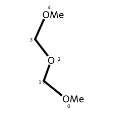 CO[CH]OCOC